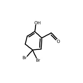 O=CC1=CC(Br)(Br)CC=C1O